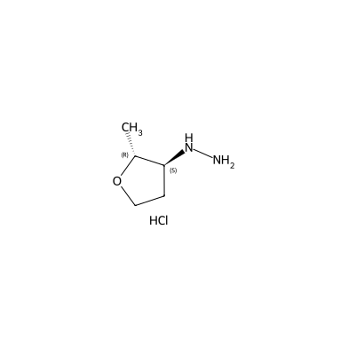 C[C@H]1OCC[C@@H]1NN.Cl